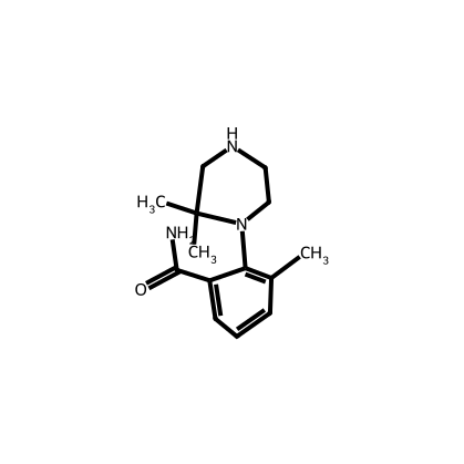 Cc1cccc(C(N)=O)c1N1CCNCC1(C)C